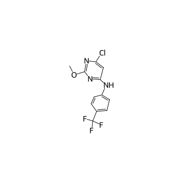 COc1nc(Cl)cc(Nc2ccc(C(F)(F)F)cc2)n1